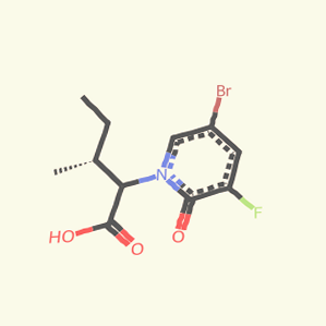 CC[C@@H](C)C(C(=O)O)n1cc(Br)cc(F)c1=O